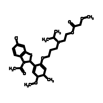 COCC(=O)OCCN(CCCOC1=CC(C)C(OC)C=C1C1Sc2cc(Cl)ccc2N1C(C)=O)C(C)C